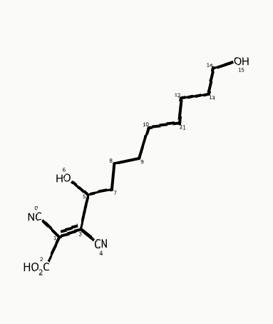 N#CC(C(=O)O)=C(C#N)C(O)CCCCCCCCO